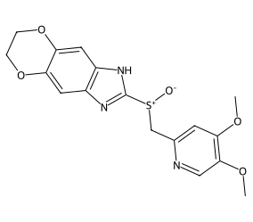 COc1cnc(C[S+]([O-])c2nc3cc4c(cc3[nH]2)OCCO4)cc1OC